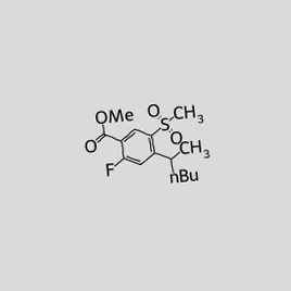 CCCCC(C)c1cc(F)c(C(=O)OC)cc1S(C)(=O)=O